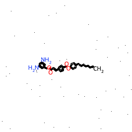 C=CCCCCCCC1CCC(OC(=O)c2ccc(/C=C/C(=O)OCc3cc(N)cc(N)c3)cc2)CC1